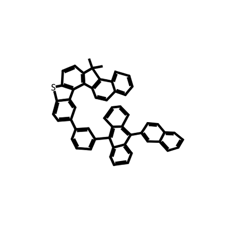 CC1(C)c2ccc3sc4ccc(-c5cccc(-c6c7ccccc7c(-c7ccc8ccccc8c7)c7ccccc67)c5)cc4c3c2-c2ccc3ccccc3c21